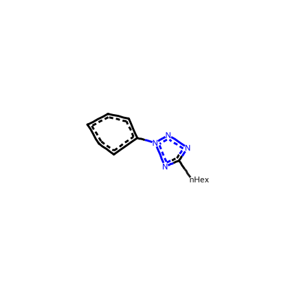 CCCCCCc1nnn(-c2ccccc2)n1